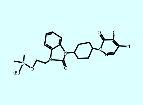 CC(C)(C)[Si](C)(C)OCCn1c(=O)n(C2CCC(n3ncc(Cl)c(Cl)c3=O)CC2)c2ccccc21